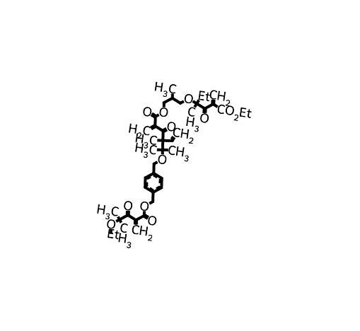 C=CC(C)(C(=O)C(=C)C(=O)OCC(C)COC(C)(CC)C(=O)C(=C)C(=O)OCC)C(C)(C)OCc1ccc(COC(=O)C(=C)C(=O)C(C)(C)OCC)cc1